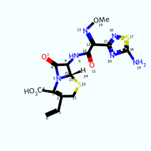 C=CC1=C(C(=O)O)N2C(=O)C(NC(=O)C(=NOC)c3nsc(N)n3)[C@@H]2SC1